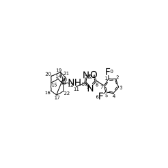 Fc1cccc(F)c1-c1nc(CNC23CC4CC(CC(C4)C2)C3)no1